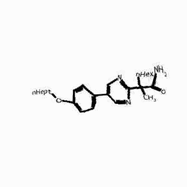 CCCCCCCOc1ccc(-c2cnc(C(C)(CCCCCC)C(N)=O)nc2)cc1